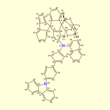 CC12C[C@H]3C[C@H](C1)C1(c4ccccc4C4(c5ccccc5-c5ccccc54)c4ccc(N(c5ccc(-c6ccc(-n7c8ccccc8c8ccccc87)cc6)cc5)c5cccc6ccccc56)cc41)[C@@H](C3)C2